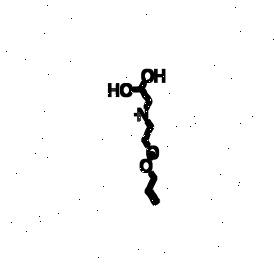 C=CCOOCC[N]CC(O)O